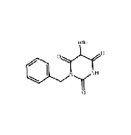 CCCCC1C(=O)NC(=O)N(Cc2ccccc2)C1=O